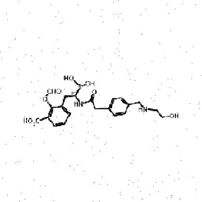 O=COc1c(C[C@H](NC(=O)Cc2ccc(CNCCO)cc2)B(O)O)cccc1C(=O)O